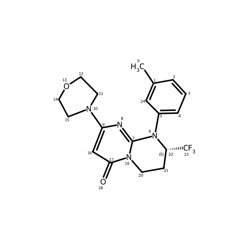 Cc1cccc(N2c3nc(N4CCOCC4)cc(=O)n3CC[C@H]2C(F)(F)F)c1